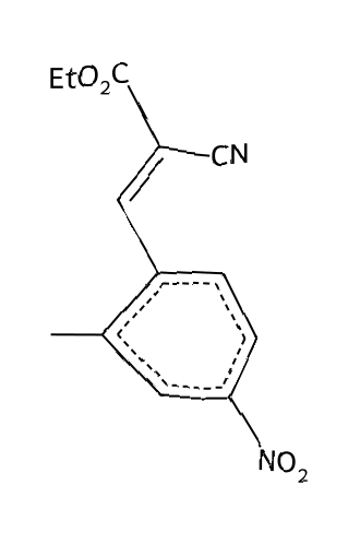 CCOC(=O)C(C#N)=Cc1ccc([N+](=O)[O-])cc1C